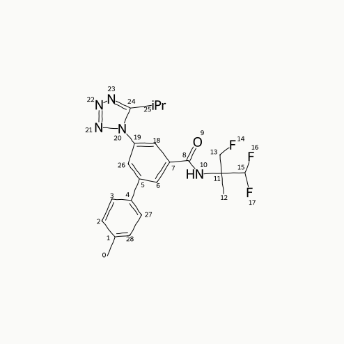 Cc1ccc(-c2cc(C(=O)NC(C)(CF)C(F)F)cc(-n3nnnc3C(C)C)c2)cc1